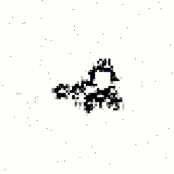 C[C@@H]1C/C=C/[C@H](O)C/C=C/C(=N/OCC(=O)N2CCCCC2)Cc2c(Cl)c(OP(=O)(O)O)cc(OP(=O)(O)O)c2C(=O)O1